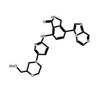 COCC1CN(c2ccc(Nc3ccc(-c4cnc5cnccn45)c4c3C(=O)NC4)nc2)CCO1